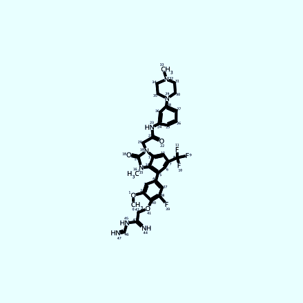 COc1cc(-c2cc(C(F)(F)F)cc3c2n(C)c(=O)n3CC(=O)Nc2cccc(N3CCN(C)CC3)c2)cc(F)c1OCC(=N)NC=N